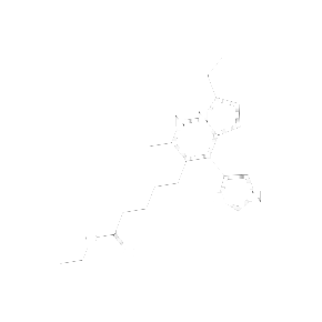 CCOC(=O)CCCCc1c(C)nn2c(CC)ccc2c1-c1cnco1